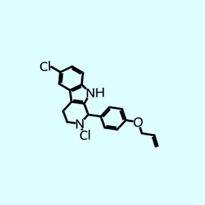 C=CCOc1ccc(C2c3[nH]c4ccc(Cl)cc4c3CCN2Cl)cc1